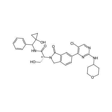 O=C(NC(c1ccccc1)C1(O)CC1)[C@@H](CO)N1Cc2ccc(-c3nc(NC4CCOCC4)ncc3Cl)cc2C1=O